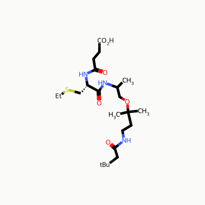 CCSC[C@H](NC(=O)CCC(=O)O)C(=O)NC(C)COC(C)(C)CCNC(=O)CC(C)(C)C